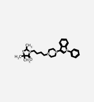 CC1SC(C)(C)C(=O)N1CCCCN1CCN(c2cn(-c3ccccc3)c3ccccc23)CC1